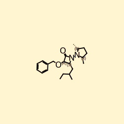 CCC(C)C[C@H]1[C@@H](OCc2ccccc2)C(=O)N1N1[C@H](C)CC[C@H]1C